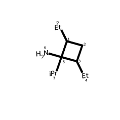 CCC1CC(CC)C1(N)C(C)C